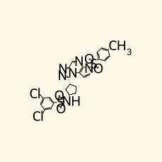 Cc1ccc(S(=O)(=O)n2ccc3c2ncc2nnc([C@@H]4CC[C@H](NS(=O)(=O)c5cc(Cl)cc(Cl)c5)C4)n23)cc1